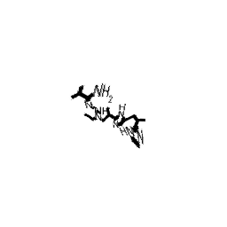 CCN(CC(C)c1ncc(CC(C)c2ncc[nH]2)[nH]1)N/N=C(\N)C(C)C